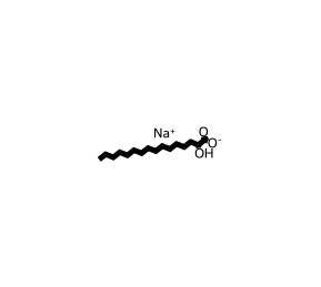 CCCCCCCCCCCCCCC(O)C(=O)[O-].[Na+]